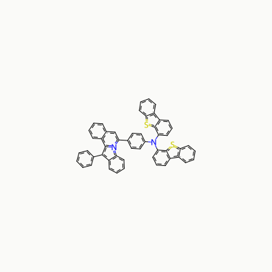 c1ccc(-c2c3ccccc3n3c(-c4ccc(N(c5cccc6c5sc5ccccc56)c5cccc6c5sc5ccccc56)cc4)cc4ccccc4c23)cc1